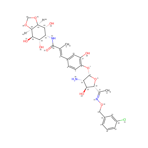 C/C(=C\c1ccc(O[C@@H]2O[C@H](/C(C)=N/OCc3cccc(Cl)c3)[C@@H](O)[C@@H]2N)c(O)c1)C(=O)N[C@@H]1[C@H](O)[C@@H](O)[C@H]2OCO[C@H]2[C@@H]1O